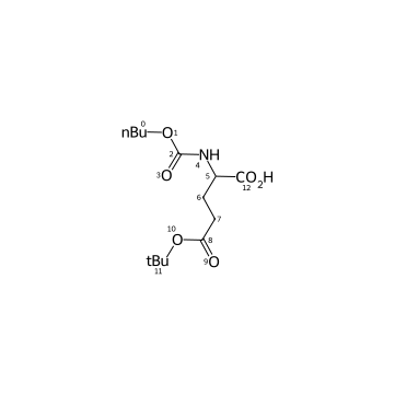 CCCCOC(=O)NC(CCC(=O)OC(C)(C)C)C(=O)O